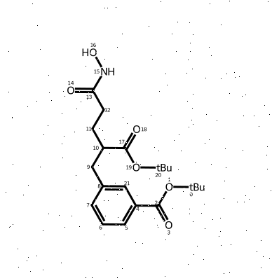 CC(C)(C)OC(=O)c1cccc(CC(CCC(=O)NO)C(=O)OC(C)(C)C)c1